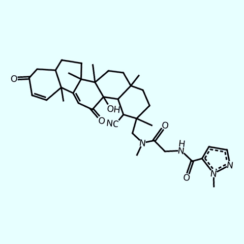 CN(CC1(C)CCC2(C)CCC3(C)C4(C)CCC5CC(=O)C=CC5(C)C4=CC(=O)C3(O)C2C1C#N)C(=O)CNC(=O)c1ccnn1C